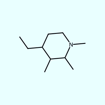 CCC1CCN(C)C(C)C1C